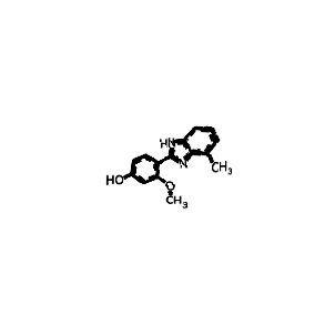 COc1cc(O)ccc1-c1nc2c(C)cccc2[nH]1